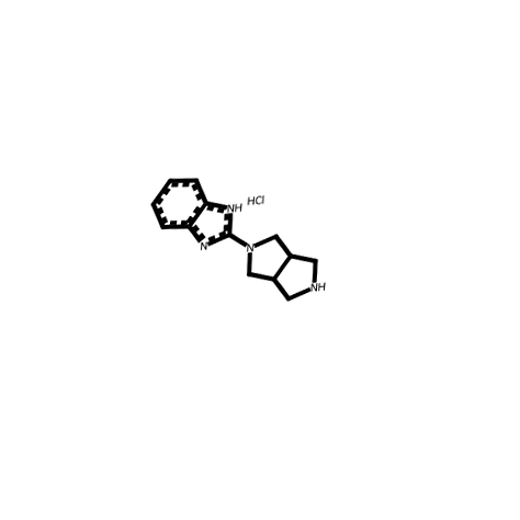 Cl.c1ccc2[nH]c(N3CC4CNCC4C3)nc2c1